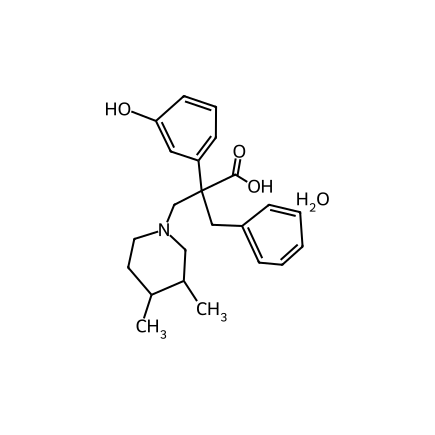 CC1CCN(CC(Cc2ccccc2)(C(=O)O)c2cccc(O)c2)CC1C.O